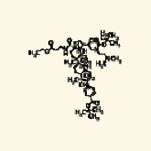 C=C(CN(CCN(C)C)C(=O)OC(C)(C)C)[C@@H]1CC[C@]2(C(=O)NCCC(=O)OCC)CC[C@]3(C)[C@H](CC[C@@H]4[C@@]5(C)CC=C(c6ccc(C(=O)OC(C)(C)C)cc6)C(C)(C)C5CC[C@]43C)[C@@H]12